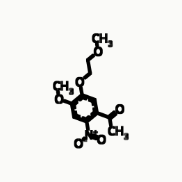 COCCOc1cc(C(C)=O)c([N+](=O)[O-])cc1OC